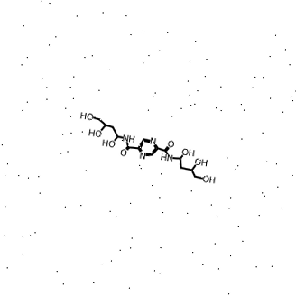 O=C(NC(O)CC(O)CO)c1cnc(C(=O)NC(O)CC(O)CO)cn1